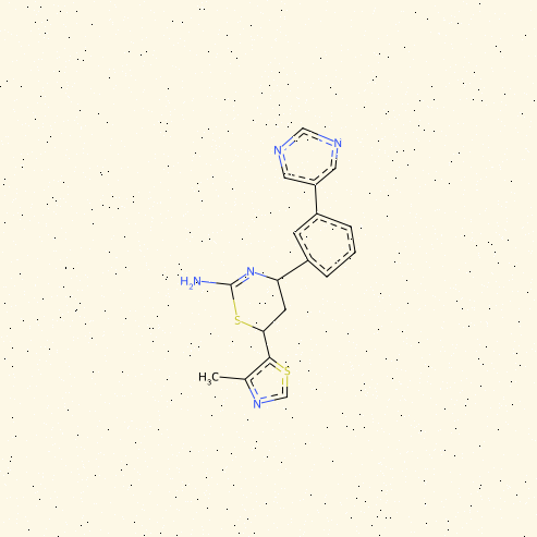 Cc1ncsc1C1CC(c2cccc(-c3cncnc3)c2)N=C(N)S1